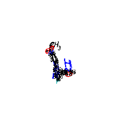 CCOC(=O)N1CC2(CC[C@@H](N3CCN(c4ncc(F)cc4-c4ccc5c(c4)OCCN5)CC3)C2)C1